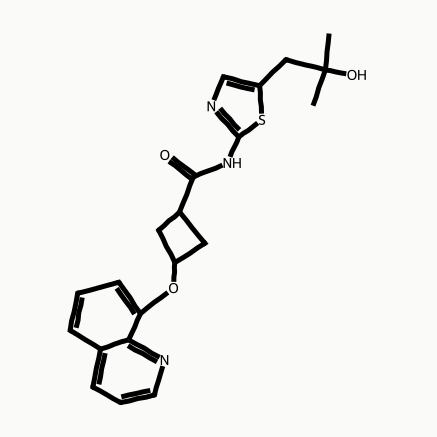 CC(C)(O)Cc1cnc(NC(=O)C2CC(Oc3cccc4cccnc34)C2)s1